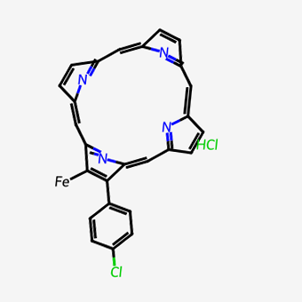 Cl.Clc1ccc(C2=[C]([Fe])C3=NC2=CC2=NC(=CC4=NC(=CC5=NC(=C3)C=C5)C=C4)C=C2)cc1